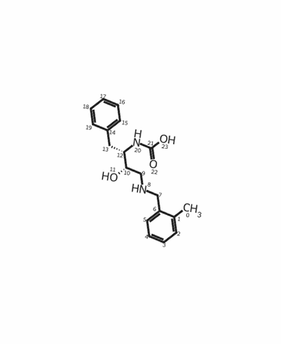 Cc1ccccc1CNC[C@H](O)[C@H](Cc1ccccc1)NC(=O)O